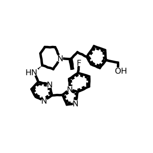 C=C(Cc1ccc(CO)cc1)N1CCC[C@@H](Nc2ccnc(-c3cnc4ccc(F)cn34)n2)C1